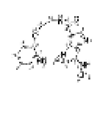 CNc1cc2nc3c(cnn13)C(=O)NCCOc1ccccc1N2